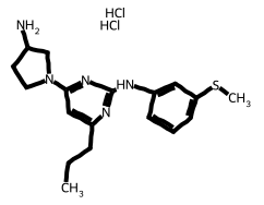 CCCc1cc(N2CCC(N)C2)nc(Nc2cccc(SC)c2)n1.Cl.Cl